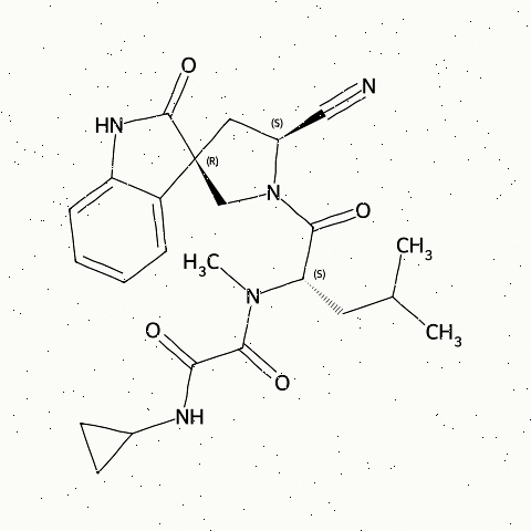 CC(C)C[C@@H](C(=O)N1C[C@]2(C[C@H]1C#N)C(=O)Nc1ccccc12)N(C)C(=O)C(=O)NC1CC1